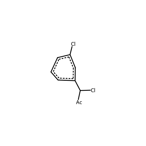 CC(=O)C(Cl)c1cccc(Cl)c1